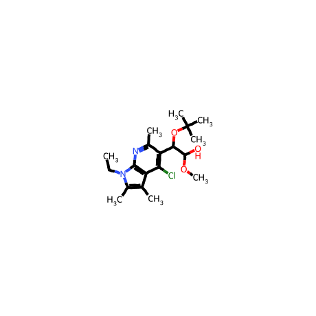 CCn1c(C)c(C)c2c(Cl)c(C(OC(C)(C)C)C(O)OC)c(C)nc21